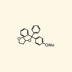 COc1ccc(C(OC2CCOC2)(c2ccccc2)c2ccccc2)cc1